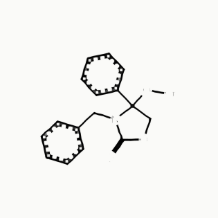 CCOC1(c2ccccc2)COC(=O)N1Cc1ccccc1